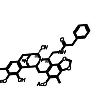 COc1c(C)cc2c(c1O)C1C3Cc4c(OC(C)=O)c(C)c5c(c4[C@H](CNC(=O)Cc4ccccc4)N3[C@@H](C#N)C(C2)N1C)OCO5